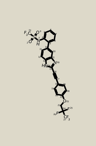 O=S(=O)(Nc1ccccc1-c1ccc2[nH]c(C#Cc3ccc(OCC(F)(F)C(F)(F)F)cc3)nc2c1)C(F)(F)F